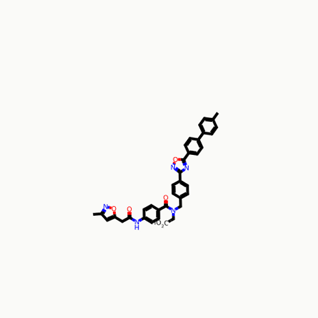 Cc1ccc(-c2ccc(-c3nc(-c4ccc(CN(CC(=O)O)C(=O)c5ccc(NC(=O)Cc6cc(C)no6)cc5)cc4)no3)cc2)cc1